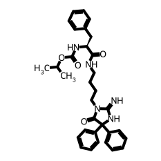 CC(C)OC(=O)N[C@@H](Cc1ccccc1)C(=O)NCCCCN1C(=N)NC(c2ccccc2)(c2ccccc2)C1=O